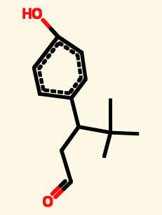 CC(C)(C)C(CC=O)c1ccc(O)cc1